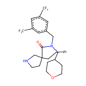 CC(C)CCC1(C(=O)N(Cc2cc(C(F)(F)F)cc(C(F)(F)F)c2)CC2CCOCC2)CCNC1